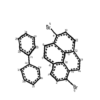 Brc1ccc2ccc3c(Br)ccc4ccc1c2c43.c1ccc(-c2ccccc2)cc1